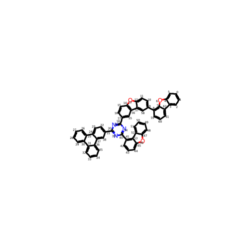 c1ccc2c(c1)oc1c(-c3ccc4oc5ccc(-c6nc(-c7ccc8c9ccccc9c9ccccc9c8c7)nc(-c7cccc8oc9ccccc9c78)n6)cc5c4c3)cccc12